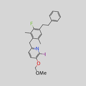 COCOc1ccc(Cc2c(C)cc(CCc3ccccc3)c(F)c2C)nc1I